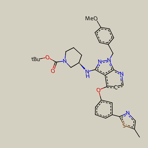 COc1ccc(Cn2nc(N[C@@H]3CCCN(C(=O)OC(C)(C)C)C3)c3c(Oc4cccc(-c5ncc(C)s5)c4)ccnc32)cc1